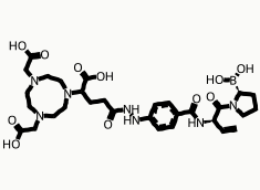 C=C[C@@H](NC(=O)c1ccc(NNC(=O)CCC(C(=O)O)N2CCN(CC(=O)O)CCN(CC(=O)O)CC2)cc1)C(=O)N1CCC[C@H]1B(O)O